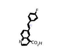 O=C(O)c1ccnc2ccc(/C=C/c3ccc(F)cc3)cc12